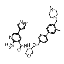 Cc1cc(-c2ccc(CO[C@H]3COC[C@@H]3NC(=O)c3cc(-c4cnn(C)c4)cnc3N)cc2)ccc1CN1CCN(C)CC1